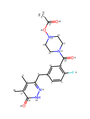 Cc1c(Cc2ccc(F)c(C(=O)N3CCN(OC(=O)C(F)(F)F)CC3)c2)n[nH]c(=O)c1C